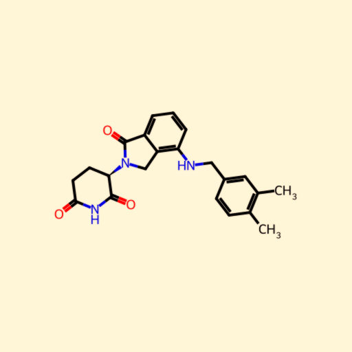 Cc1ccc(CNc2cccc3c2CN([C@@H]2CCC(=O)NC2=O)C3=O)cc1C